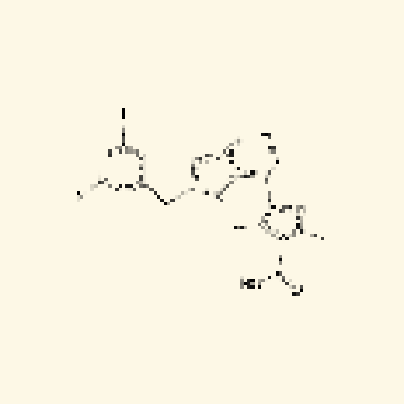 Cc1nn(-c2cccc3cc(Cc4cc(F)cc(F)c4)sc23)c(C)c1C(=O)O